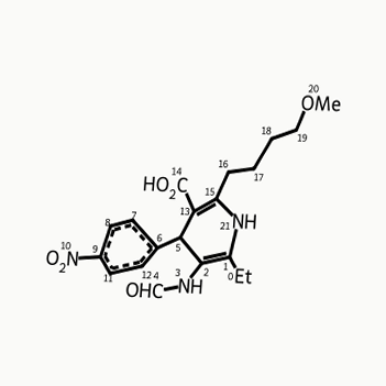 CCC1=C(NC=O)C(c2ccc([N+](=O)[O-])cc2)C(C(=O)O)=C(CCCCOC)N1